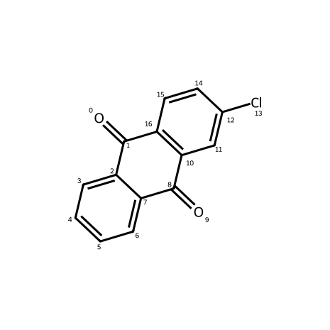 O=C1c2ccccc2C(=O)c2cc(Cl)ccc21